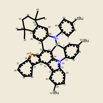 CC(C)(C)c1ccc(N2B3c4cc(C(C)(C)C)ccc4-n4c5ccc(C(C)(C)C)cc5c5c6c(sc7ccccc76)c(c3c54)-c3cc4c(cc32)C(C)(C)CCC4(C)C)cc1